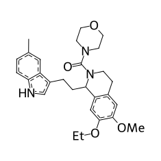 CCOc1cc2c(cc1OC)CCN(C(=O)N1CCOCC1)C2CCc1c[nH]c2ccc(C)cc12